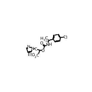 CCOC(=O)C(Cn1cccn1)OC(=O)N[C@@H](C)c1ccc(Cl)cc1